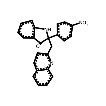 O=C1c2ccccc2NC1(Cc1ccc2ccccc2n1)c1ccc([N+](=O)[O-])cc1